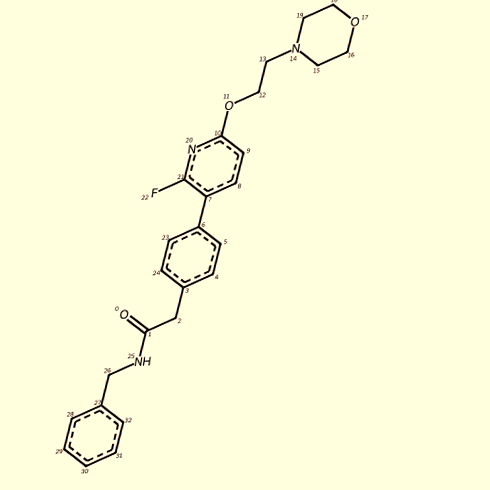 O=C(Cc1ccc(-c2ccc(OCCN3CCOCC3)nc2F)cc1)NCc1ccccc1